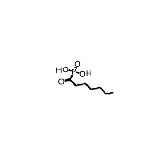 CCCCCCC(=O)P(=O)(O)O